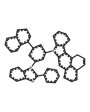 C1=Cc2cccc3cc4c(c(c23)C1)c1ccccc1n4-c1cc(-c2cccc3ccccc23)cc(-n2c(-c3ccccc3)nc3ccccc32)c1